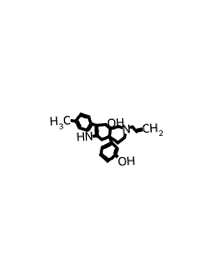 C=CCN1CCC2(c3cccc(O)c3)Cc3[nH]c4cc(C)ccc4c3CC2(O)C1